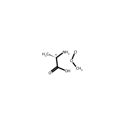 COCl.C[C@H](N)C(=O)O